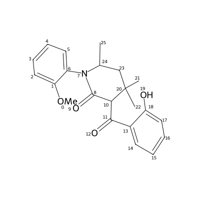 COc1ccccc1N1C(=O)C(C(=O)c2ccccc2O)C(C)(C)CC1C